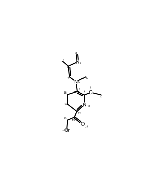 C=N/C(C)=C\N(C)C1=C(OC)N=C(C(=O)CBr)CC1